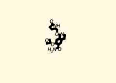 NC(=O)c1cc2ccnc(OCC3CCC(=O)N3)c2cc1OC1COC1